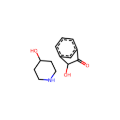 O=C1c2cccc(c2)C1O.OC1CCNCC1